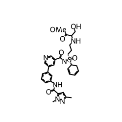 COC(=O)C(CO)NCCC[S@@](=O)(=NC(=O)c1cncc(-c2cccc(NC(=O)c3cc(C)nn3C)c2)c1)C1C=CC=CC1